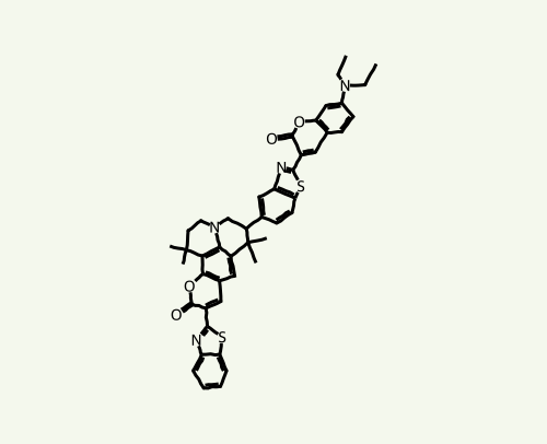 CCN(CC)c1ccc2cc(-c3nc4cc(C5CN6CCC(C)(C)c7c6c(cc6cc(-c8nc9ccccc9s8)c(=O)oc76)C5(C)C)ccc4s3)c(=O)oc2c1